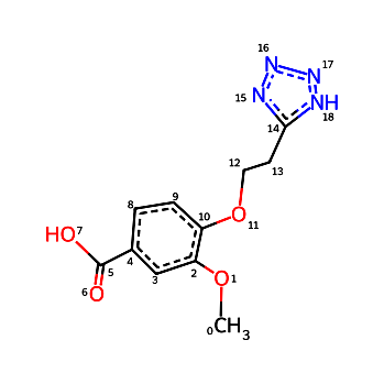 COc1cc(C(=O)O)ccc1OCCc1nnn[nH]1